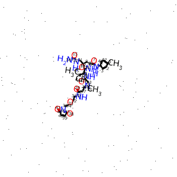 Cc1ccc(NC(=O)[C@H](CCCNC(N)=O)NC(=O)[C@@H](NC(=O)CN(C)CCC(=O)NCCOCCN2C(=O)C=CC2=O)C(C)C)cc1